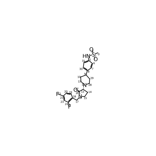 CS(=O)(=O)Nc1ccc(C2CCN([C@@H]3CCN(Cc4ccc(F)cc4F)C3=O)CC2)cc1